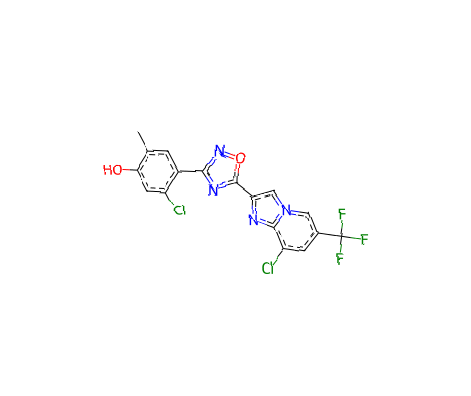 Cc1cc(-c2noc(-c3cn4cc(C(F)(F)F)cc(Cl)c4n3)n2)c(Cl)cc1O